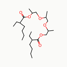 CCCCC(CC)C(=O)OCC(C)OCC(C)OCC(C)OC(=O)C(CC)CCCC